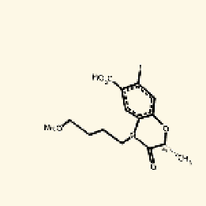 COCCCCN1C(=O)[C@@H](C)Oc2cc(I)c(C(=O)O)cc21